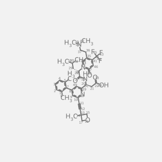 Cc1cccc(C)c1-c1cc(C#CC2(C)COC2)nc([C@H](CC(=O)O)NC(=O)[C@H](CC(C)C)n2cc(CCN(C)C)c(C(F)(F)F)cc2=O)c1